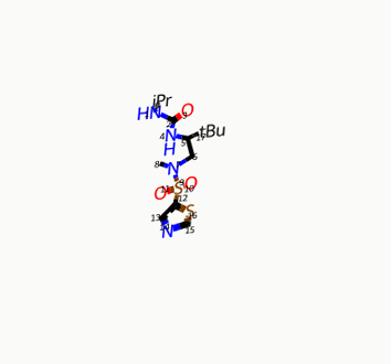 CC(C)NC(=O)NC(CN(C)S(=O)(=O)c1cncs1)C(C)(C)C